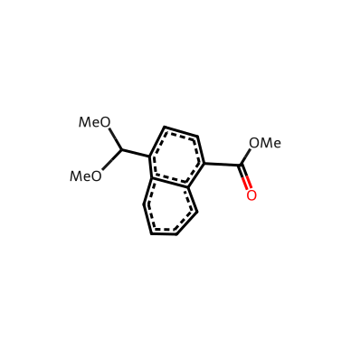 COC(=O)c1ccc(C(OC)OC)c2ccccc12